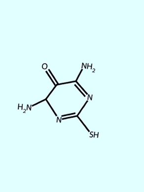 NC1=NC(S)=NC(N)C1=O